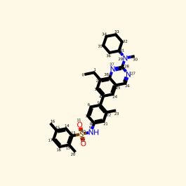 CCc1cc(-c2ccc(NS(=O)(=O)c3cc(C)ccc3C)cc2C)cc2cnc(N(C)C3CCCCC3)nc12